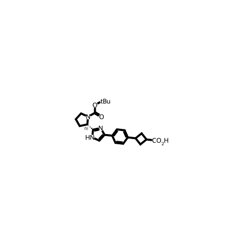 CC(C)(C)OC(=O)N1CCC[C@H]1c1nc(-c2ccc(C3CC(C(=O)O)C3)cc2)c[nH]1